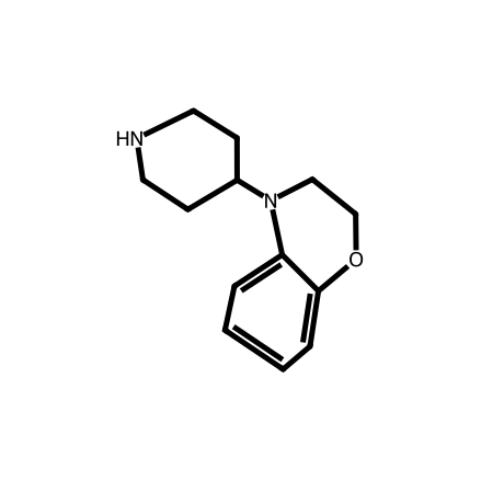 c1ccc2c(c1)OCCN2C1CCNCC1